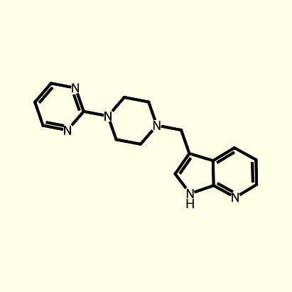 c1cnc(N2CCN(Cc3c[nH]c4ncccc34)CC2)nc1